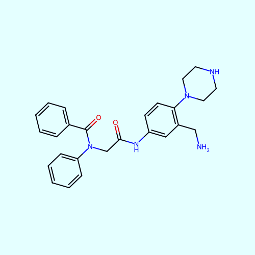 NCc1cc(NC(=O)CN(C(=O)c2ccccc2)c2ccccc2)ccc1N1CCNCC1